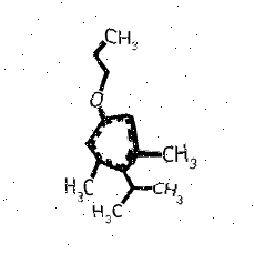 CCCOc1cc(C)c(C(C)C)c(C)c1